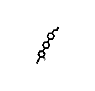 C=CCC1CCC(C2CCC(c3ccc(C#N)c(F)c3)CC2)CC1